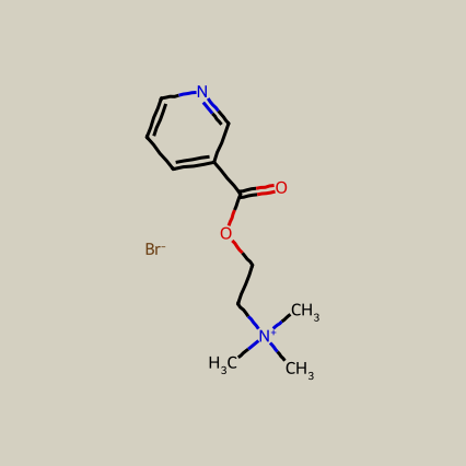 C[N+](C)(C)CCOC(=O)c1cccnc1.[Br-]